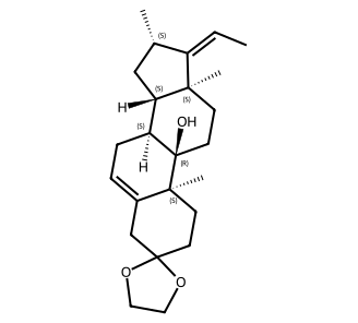 CC=C1[C@@H](C)C[C@H]2[C@@H]3CC=C4CC5(CC[C@]4(C)[C@@]3(O)CC[C@]12C)OCCO5